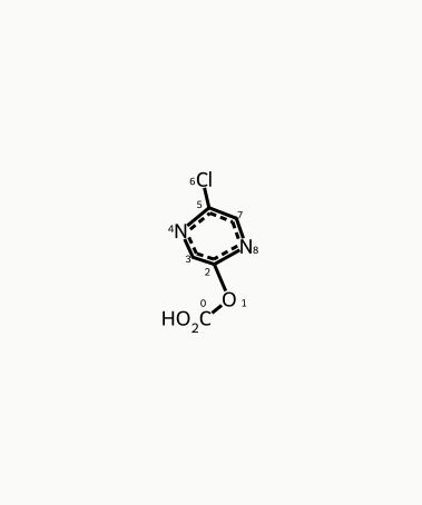 O=C(O)Oc1cnc(Cl)cn1